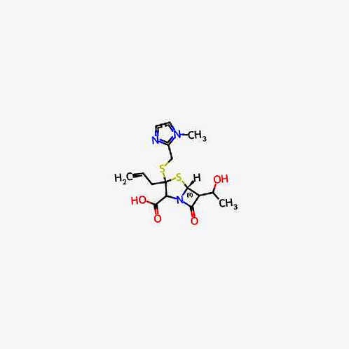 C=CCC1(SCc2nccn2C)S[C@@H]2C(C(C)O)C(=O)N2C1C(=O)O